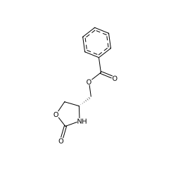 O=C1N[C@@H](COC(=O)c2ccccc2)CO1